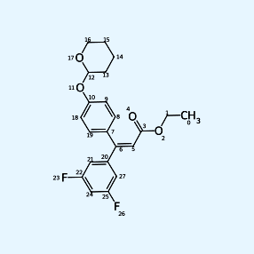 CCOC(=O)/C=C(\c1ccc(OC2CCCCO2)cc1)c1cc(F)cc(F)c1